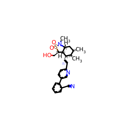 C[C@H]1[C@H](/C=C/c2ccc(-c3ccccc3C#N)cn2)[C@H]2[C@@H](C[C@@H]1C)N(C)S(=O)(=O)[C@@H]2CO